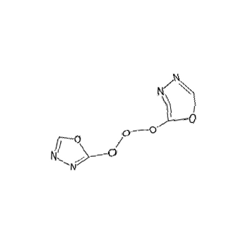 c1nnc(OOOc2nnco2)o1